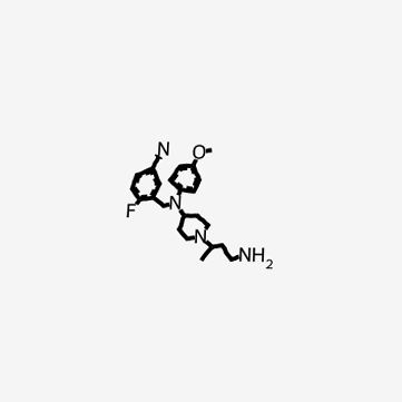 COc1ccc(N(Cc2cc(C#N)ccc2F)C2CCN(C(C)CCN)CC2)cc1